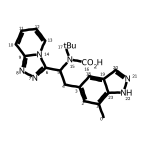 Cc1cc(CC(c2nnc3ccccn23)N(C(=O)O)C(C)(C)C)cc2cn[nH]c12